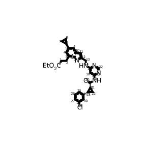 CCOC(=O)CCc1cc(C2CC2)cc2cc(CNc3cc(NC(=O)[C@H]4C[C@@H]4c4cccc(Cl)c4)ncn3)nn12